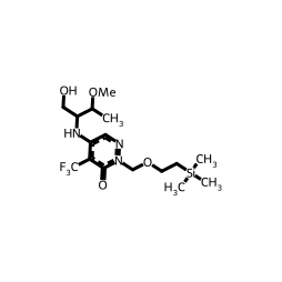 COC(C)C(CO)Nc1cnn(COCC[Si](C)(C)C)c(=O)c1C(F)(F)F